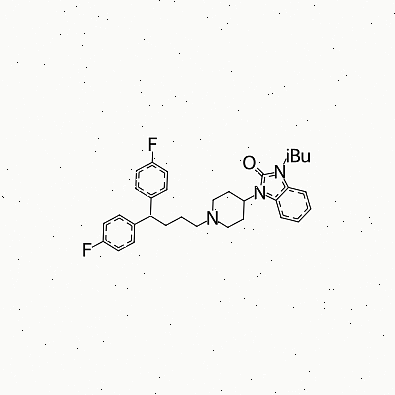 CCC(C)n1c(=O)n(C2CCN(CCCC(c3ccc(F)cc3)c3ccc(F)cc3)CC2)c2ccccc21